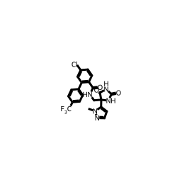 Cn1nccc1C1(CNC(=O)c2ccc(Cl)cc2-c2ccc(C(F)(F)F)cc2)NC(=O)NC1=O